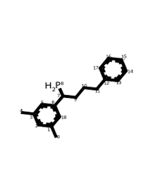 Cc1cc(C)cc(C(P)CCCc2cc[c]cc2)c1